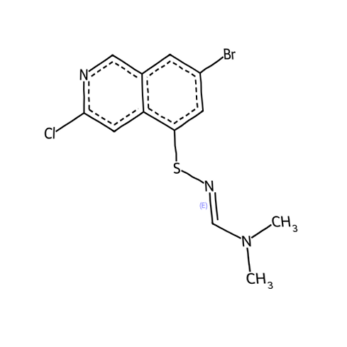 CN(C)/C=N/Sc1cc(Br)cc2cnc(Cl)cc12